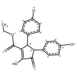 CCOC(=O)C1=C(O)C(=O)N(c2ccc(Cl)cc2)C1c1ccc(Cl)cc1